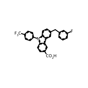 O=C(O)c1ccc2c(c1)c1cc(Cc3cccc(F)c3)ccc1n2-c1ccc(C(F)(F)F)cc1